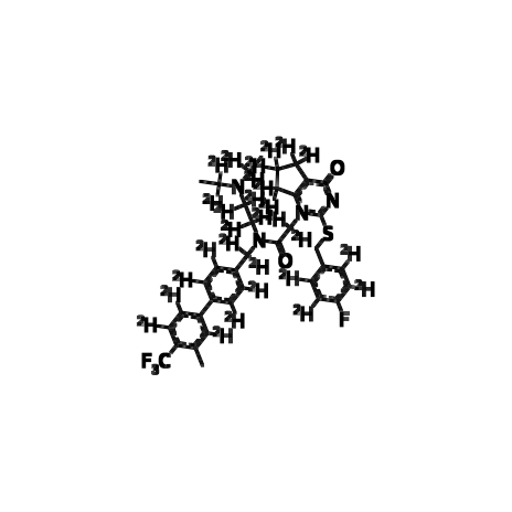 [2H]c1c([2H])c(CSc2nc(=O)c3c(n2C([2H])([2H])C(=O)N(C([2H])([2H])c2c([2H])c([2H])c(-c4c([2H])c([2H])c(C(F)(F)F)c(C)c4[2H])c([2H])c2[2H])C([2H])([2H])C([2H])([2H])N(C([2H])([2H])C)C([2H])([2H])C)C([2H])([2H])C([2H])([2H])C3([2H])[2H])c([2H])c([2H])c1F